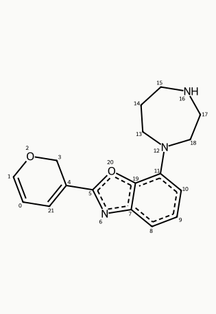 C1=COCC(c2nc3cccc(N4CCCNCC4)c3o2)=C1